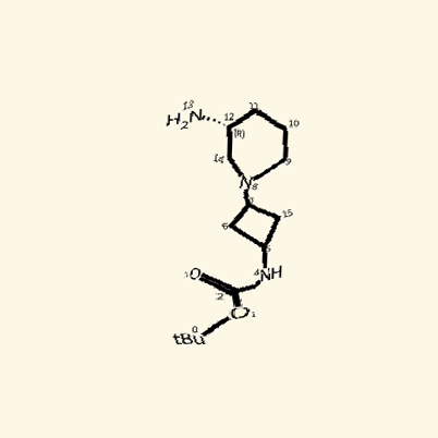 CC(C)(C)OC(=O)NC1CC(N2CCC[C@@H](N)C2)C1